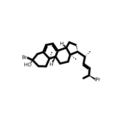 CC(C)[C@@H](C)C=C[C@@H](C)[C@H]1CC[C@H]2C3=CC=C4C[C@](O)(Br)CC[C@]4(C)[C@H]3CC[C@]12C